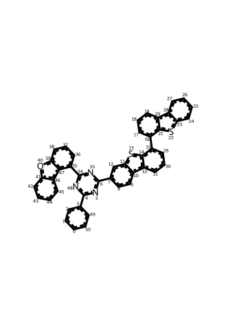 c1ccc(-c2nc(-c3ccc4c(c3)sc3c(-c5cccc6c5sc5ccccc56)cccc34)nc(-c3cccc4oc5ccccc5c34)n2)cc1